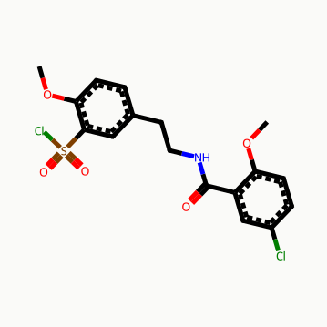 COc1ccc(Cl)cc1C(=O)NCCc1ccc(OC)c(S(=O)(=O)Cl)c1